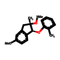 CNO[C@@]1(C)Cc2cc(OC)ccc2[C@@H]1Oc1ccccc1C